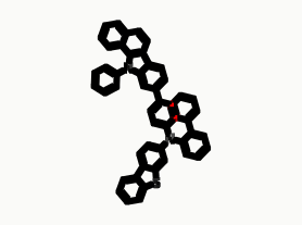 c1ccc(-c2ccccc2N(c2ccc(-c3ccc4c5ccc6ccccc6c5n(-c5ccccc5)c4c3)cc2)c2ccc3c(c2)sc2ccccc23)cc1